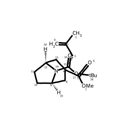 C=C(C)C[C@]1(C(=O)OC)C[C@H]2CC[C@@H](C1)N2C(=O)OC(C)(C)C